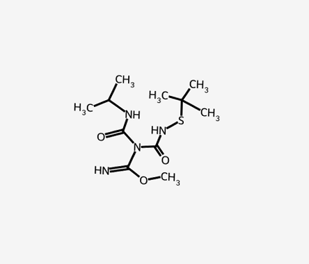 COC(=N)N(C(=O)NSC(C)(C)C)C(=O)NC(C)C